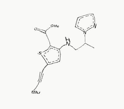 COC(=O)c1sc(C#CC(C)(C)C)cc1NCC(C)n1cccn1